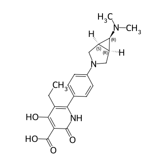 CCc1c(-c2ccc(N3C[C@@H]4[C@H](C3)[C@@H]4N(C)C)cc2)[nH]c(=O)c(C(=O)O)c1O